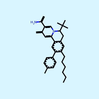 C=C(N)C1=CN2C(=CC1=C)c1cc(-c3ccc(C)cc3)c(CCCCCC)cc1CC2C(C)(C)C